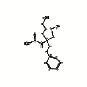 CC(=O)NC(CCO)(CCCO)CCc1ccccc1